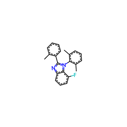 Cc1ccccc1-c1nc2cccc(F)c2n1-c1c(C)cccc1C